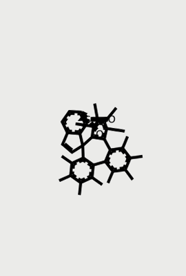 Cc1c(C)c(C)c2c(c1C)-c1c(C)c(C)c(C)c(C)c1C1(C=Cc3ccc4c(c31)S(=O)(=O)C=C4)c1c(C)c(C)c(C)c(C)c1-2